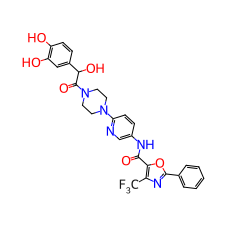 O=C(Nc1ccc(N2CCN(C(=O)C(O)c3ccc(O)c(O)c3)CC2)nc1)c1oc(-c2ccccc2)nc1C(F)(F)F